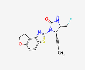 CC#C[C@@H]1[C@H](CF)NC(=O)N1c1nc2c3c(ccc2s1)OCC3